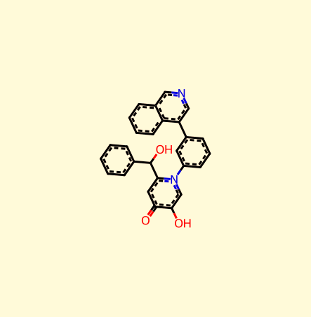 O=c1cc(C(O)c2ccccc2)n(-c2cccc(-c3cncc4ccccc34)c2)cc1O